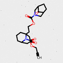 C#CCOC(=O)N1C2CCCC1(CCOC(=O)N1CC3CCC(C1)C3=O)CC(=O)C2